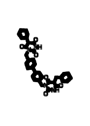 O=C1NC(=O)N(Cc2ccc(-c3ccc(CN4C(=O)NC(=O)C(c5ccccc5)C4=O)cc3)cc2)C(=O)C1Cc1ccccc1